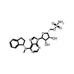 CN(c1ncnc2c1ncn2C1O[C@H](COS(N)(=O)=O)[C@@H](O)[C@H]1O)[C@H]1CCc2ccccc21